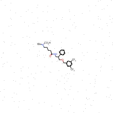 CC(C)(C)N(CCCCC(=O)NCC(COCc1cc(C(F)(F)F)cc(C(F)(F)F)c1)c1ccccc1)C(=O)O